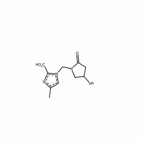 CCCC1CC(=O)N(Cn2cc(C)nc2C(=O)O)C1